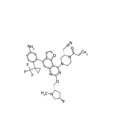 C=CC(=O)N1CCN(c2nc(OC[C@@H]3C[C@@H](F)CN3C)nc3cc(-c4cc(N)ccc4C4(C(F)(F)F)CC4)c4ccoc4c23)C[C@@H]1CC#N